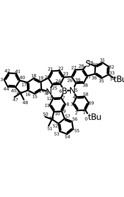 CC(C)(C)c1ccc(N2B3c4cc5c(cc4-n4c6cc7c(cc6c6ccc(c3c64)-c3cc4sc6ccc(C(C)(C)C)cc6c4cc32)-c2ccccc2C7(C)C)C(C)(C)c2ccccc2-5)cc1